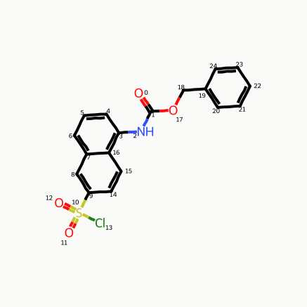 O=C(Nc1cccc2cc(S(=O)(=O)Cl)ccc12)OCc1ccccc1